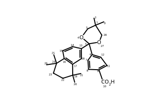 CC1(C)COC(c2ccc(C(=O)O)cc2)(c2ccc3c(c2)C(C)(C)CCC3(C)C)OC1